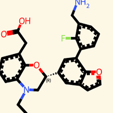 CCN1C[C@@H](c2cc(-c3cccc(CN)c3F)c3occc3c2)Oc2c(CC(=O)O)cccc21